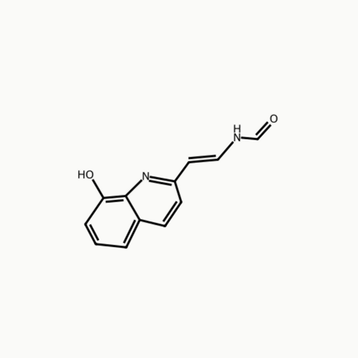 O=CNC=Cc1ccc2cccc(O)c2n1